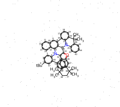 CC(C)(C)c1ccc(N2c3c4c(cc5ccccc35)-c3cccc5c3N(B4c3oc4cc6c(cc4c32)C(C)(C)CCC6(C)C)c2ccccc2C5(C)C)c(-c2ccccc2)c1